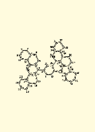 c1cc(-c2c3ccc4ccccc4c3nc3c2ccc2ccccc23)cc(-c2nc3ccccc3c3ccc4c5ccccc5oc4c23)c1